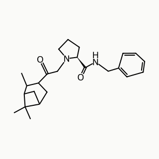 CC1C(C(=O)CN2CCC[C@H]2C(=O)NCc2ccccc2)CC2CC1C2(C)C